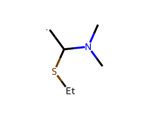 [CH2]C(SCC)N(C)C